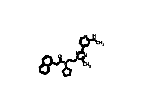 CNc1cc(-c2nc(C)n(CCN(C(=O)Cc3cccc4ccccc34)C3CCCC3)n2)ccn1